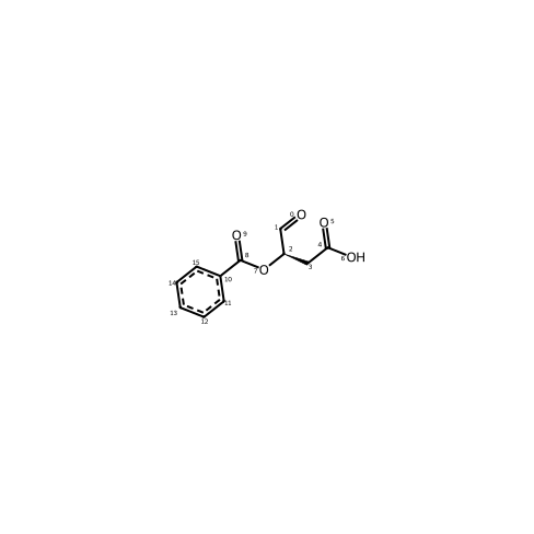 O=C[C@@H](CC(=O)O)OC(=O)c1ccccc1